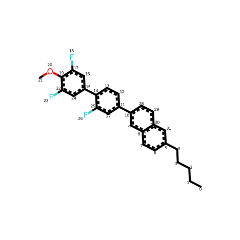 CCCCCc1ccc2cc(-c3ccc(-c4cc(F)c(OC)c(F)c4)c(F)c3)ccc2c1